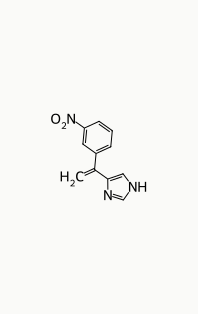 C=C(c1cccc([N+](=O)[O-])c1)c1c[nH]cn1